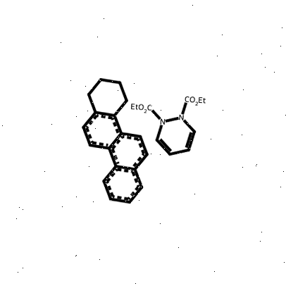 CCOC(=O)N1C=CC=CN1C(=O)OCC.c1ccc2c(c1)ccc1c3c(ccc12)CCCC3